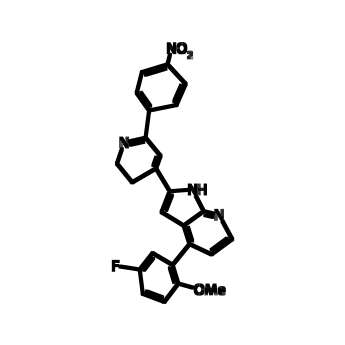 COc1ccc(F)cc1-c1ccnc2[nH]c(C3=CC(c4ccc([N+](=O)[O-])cc4)=NCC3)cc12